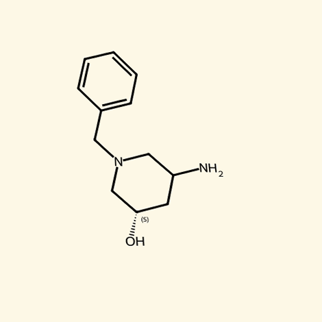 NC1C[C@H](O)CN(Cc2ccccc2)C1